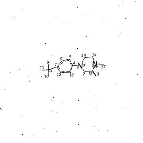 C[C@H]1CN(c2ccc(C(C)(C)C)cc2)CCN1C